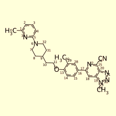 Cc1cccc(N2CCC(CCOc3ccc(-c4cc5c(nnn5C)c(C#N)n4)cc3C)CC2)n1